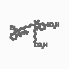 CCCC1(C)/C(=C\C=CC=CC2=[N+](CCCCCC(=O)O)c3ccc(S(=O)(=O)O)cc3C2(C)C)N(CC)c2ccccc21